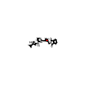 O=C1c2ccccc2C(=O)N1CC12CC(C1)N(c1nccc(Nc3cc(C4CC4)[nH]n3)n1)C2